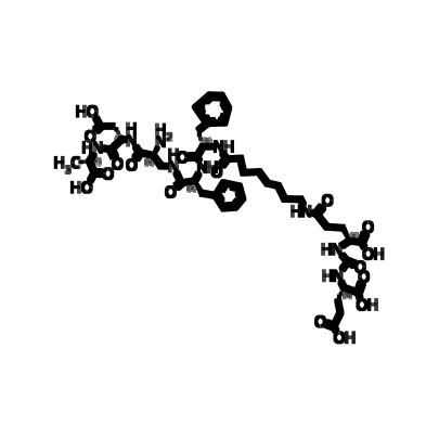 C[C@H](NC(=O)[C@H](CC(=O)O)NC(=O)[C@@H](N)CNC(=O)[C@H](Cc1ccccc1)NC(=O)[C@H](Cc1ccccc1)NC(=O)CCCCCCCNC(=O)CC[C@H](NC(=O)N[C@@H](CCC(=O)O)C(=O)O)C(=O)O)C(=O)O